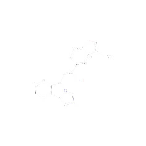 COc1coc2ccc(C(O)CC3c4ccccc4-c4cncn43)cc12